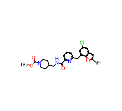 CC(C)c1cc2cc(Cl)cc(Cc3cccc(C(=O)NCC4CCN(C(=O)OC(C)(C)C)CC4)n3)c2o1